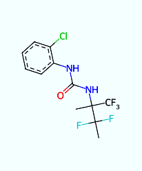 CC(F)(F)C(C)(NC(=O)Nc1ccccc1Cl)C(F)(F)F